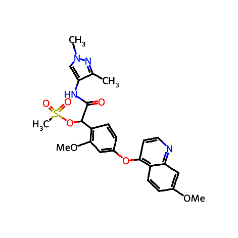 COc1ccc2c(Oc3ccc(C(OS(C)(=O)=O)C(=O)Nc4cn(C)nc4C)c(OC)c3)ccnc2c1